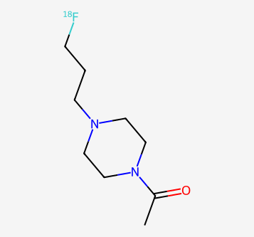 CC(=O)N1CCN(CCC[18F])CC1